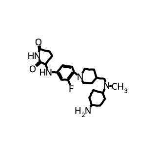 CN(CC1CCN(c2ccc(NC3CCC(=O)NC3=O)cc2F)CC1)C1CCC(N)CC1